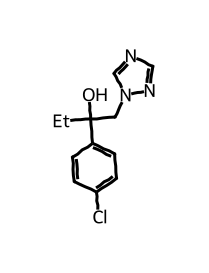 CCC(O)(Cn1cncn1)c1ccc(Cl)cc1